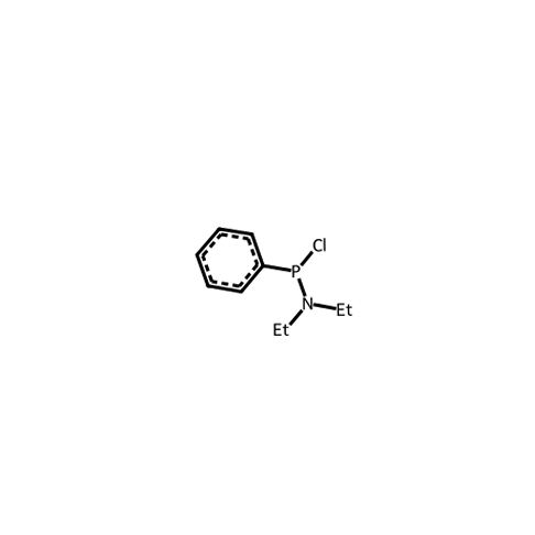 CCN(CC)P(Cl)c1ccccc1